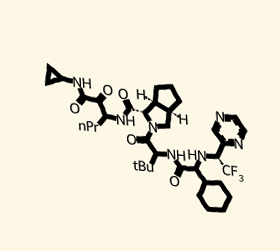 CCCC(NC(=O)[C@@H]1[C@H]2CCC[C@H]2CN1C(=O)C(NC(=O)C(N[C@H](c1cnccn1)C(F)(F)F)C1CCCCC1)C(C)(C)C)C(=O)C(=O)NC1CC1